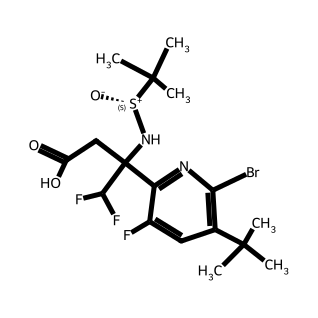 CC(C)(C)c1cc(F)c(C(CC(=O)O)(N[S@+]([O-])C(C)(C)C)C(F)F)nc1Br